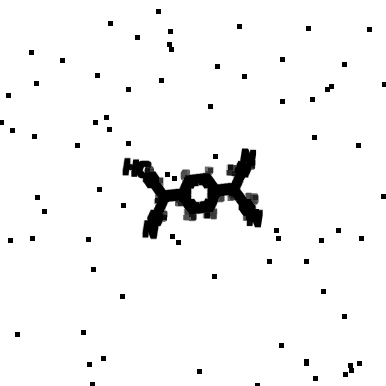 C#CC(C#N)=c1ccc(=C(C#N)C#N)cc1